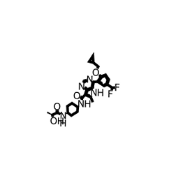 Cc1[nH]c2c(-c3cc(C(F)F)ccc3OCC3CC3)ncnc2c1C(=O)N[C@H]1CC[C@@H](NC(=O)[C@H](C)O)CC1